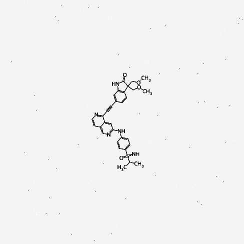 COCC1(COC)C(=O)Nc2cc(C#Cc3nccc4cnc(Nc5ccc(S(=N)(=O)C(C)C)cc5)cc34)ccc21